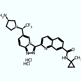 CC1(NC(=O)c2ccc3ccc(-c4nnc5ccc([C@@H](N6CC[C@@H](N)C6)C(F)(F)F)cn45)nc3c2)CC1.Cl.Cl